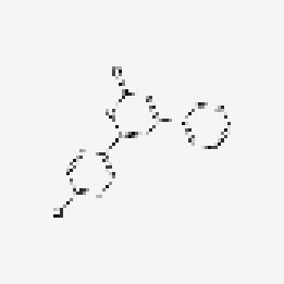 O=c1cc(-c2ccccc2)cc(-c2ccc(Cl)cc2)o1